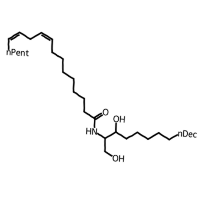 CCCCC/C=C\C/C=C\CCCCCCCC(=O)NC(CO)C(O)CCCCCCCCCCCCCCC